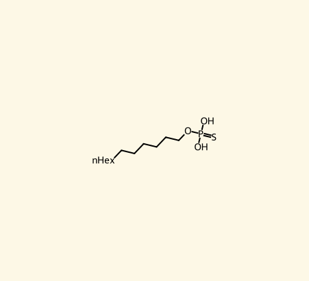 CCCCCCCCCCCCOP(O)(O)=S